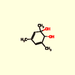 CC1=CC(C)(O)C(O)C(C)=C1